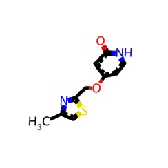 Cc1csc(COc2cc[nH]c(=O)c2)n1